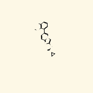 COc1c(F)cccc1-c1ccc2nc(NC(=O)[C@@H]3C[C@@H]3F)cn2c1